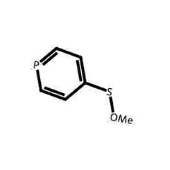 COSc1ccpcc1